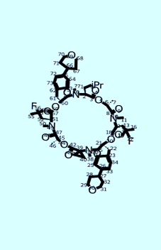 CC(C)C[C@H]1C(=O)O[C@H](C)C(=O)N(C)[C@@H](CC(C)(C)F)C(=O)O[C@H](Cc2ccc(C3CCOCC3)cc2)C(=O)N(C)C2(CC2)C(=O)O[C@H](C)C(=O)N(C)[C@@H](CC(C)(C)F)C(=O)O[C@H](Cc2ccc(C3CCOCC3)cc2)C(=O)N1C